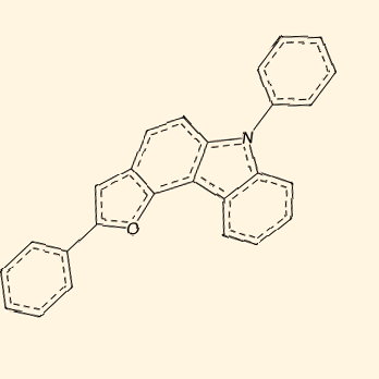 c1ccc(-c2cc3ccc4c(c5ccccc5n4-c4ccccc4)c3o2)cc1